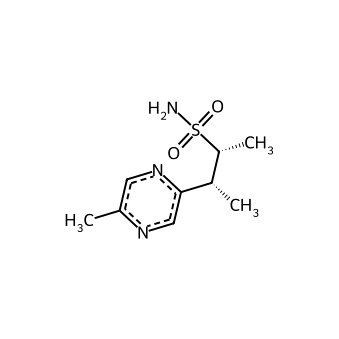 Cc1cnc([C@@H](C)[C@@H](C)S(N)(=O)=O)cn1